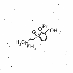 CC(C)Oc1c(CO)cccc1[S+]([O-])CCN(C)C